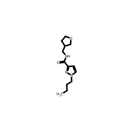 CCCCn1ccc(C(=O)NCC2CCOC2)n1